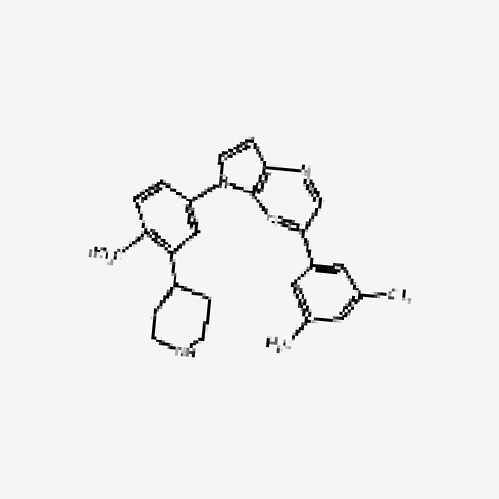 Cc1cc(C)cc(-c2cnc3ccn(-c4ccc(C(=O)O)c(C5CCNCC5)c4)c3n2)c1